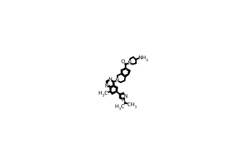 Cc1cc(-c2cnn(C(C)C)c2)cc2c(N3CCc4ccc(C(=O)N5CCC(N)CC5)cc4C3)ncnc12